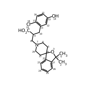 CC1(C)OC2(CCN(CC(Cc3cc(O)ccc3Cl)C(=O)O)CC2)c2ccccc21